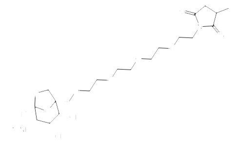 CC(=O)N[C@@H]1[C@H]2OC[C@](COCCOCCOCCOCCN3C(=O)CC(C)C3=O)(O2)[C@H](O)[C@@H]1O